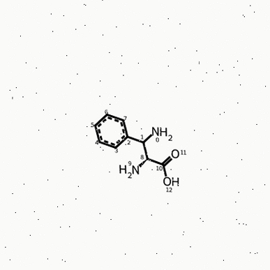 NC(c1ccccc1)[C@H](N)C(=O)O